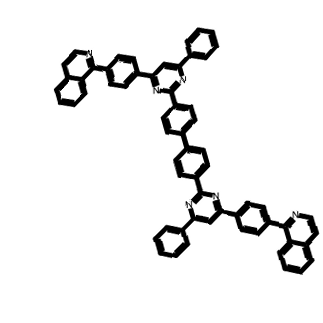 c1ccc(-c2cc(-c3ccc(-c4nccc5ccccc45)cc3)nc(-c3ccc(-c4ccc(-c5nc(-c6ccccc6)cc(-c6ccc(-c7nccc8ccccc78)cc6)n5)cc4)cc3)n2)cc1